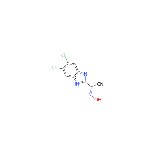 N#C/C(=N\O)c1nc2cc(Cl)c(Cl)cc2[nH]1